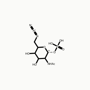 CC(=O)NC1C(O)C(O)C(CN=[N+]=[N-])O[C@@H]1OP(=O)(O)O